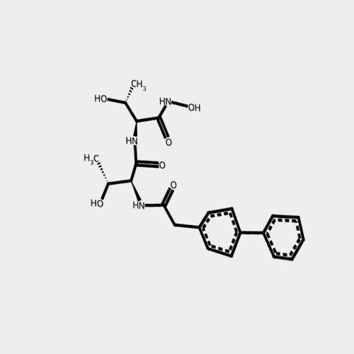 C[C@@H](O)[C@H](NC(=O)Cc1ccc(-c2ccccc2)cc1)C(=O)N[C@H](C(=O)NO)[C@@H](C)O